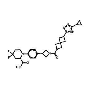 NC(=O)[C@H]1CC(F)(F)CCN1c1ccc(C2CN(C(=O)N3CC4(CC(c5nnc(C6CC6)[nH]5)C4)C3)C2)cc1